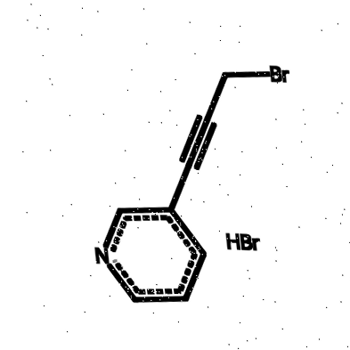 Br.BrCC#Cc1cccnc1